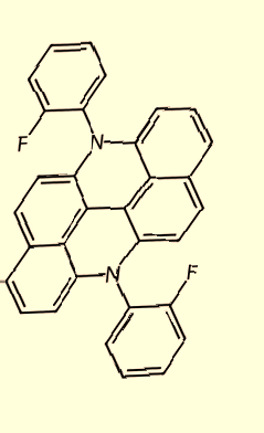 Fc1ccccc1-n1c2ccc3cccc4c3c2-c2c3c(cccc31)ccc2n4-c1ccccc1F